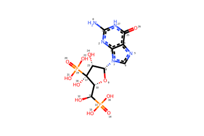 Nc1nc2c(ncn2[C@@H]2O[C@H]([C@H](O)P(=O)(O)O)[C@@](O)(P(=O)(O)O)[C@@H]2O)c(=O)[nH]1